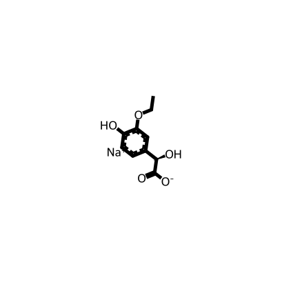 CCOc1cc([C@@H](O)C(=O)[O-])ccc1O.[Na+]